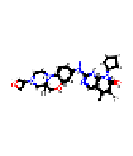 CC(=O)c1c(C)c2cnc(Nc3ccc4c(c3)OC[C@@H]3CN(C5COC5)CCN43)nc2n(C2CCCC2)c1=O